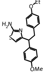 CCOc1ccc(CC(c2ccc(OC)cc2)c2csc(N)n2)cc1